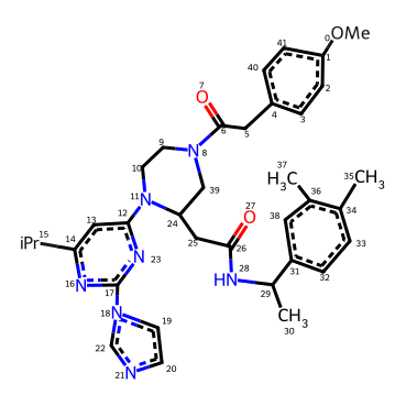 COc1ccc(CC(=O)N2CCN(c3cc(C(C)C)nc(-n4ccnc4)n3)C(CC(=O)NC(C)c3ccc(C)c(C)c3)C2)cc1